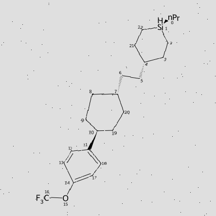 CCC[Si@H]1CC[C@H](CC[C@H]2CC[C@H](c3ccc(OC(F)(F)F)cc3)CC2)CC1